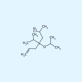 C=CC[Si](CC(C)C)(OC(C)C)C(C)C